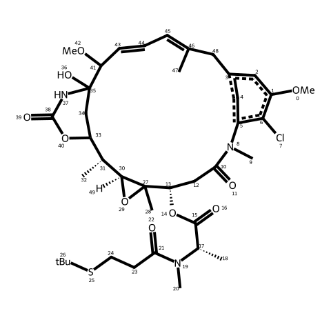 COc1cc2cc(c1Cl)N(C)C(=O)C[C@H](OC(=O)[C@H](C)N(C)C(=O)CCSC(C)(C)C)C1(C)O[C@H]1[C@H](C)C1CC(O)(NC(=O)O1)C(OC)/C=C/C=C(\C)C2